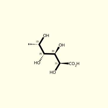 C[C@H](O)[C@@H](O)[C@@H](O)[C@H](O)C(=O)O